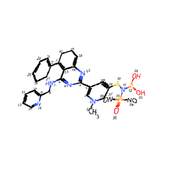 CN1C=C(c2nc(NCc3ccccn3)c3c(n2)=CCCC=3C2=CC=CCC2)C=C(SN(P(O)O)P(=O)(N=O)N=O)C1